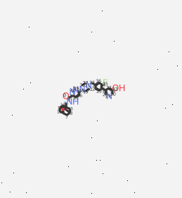 O=C(NCC12CC3CC(CC(C3)C1)C2)c1ccc(N2CCN(Cc3ccc(-c4cncc(O)c4)c(F)c3)CC2)nn1